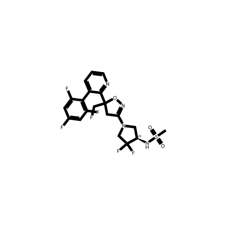 CS(=O)(=O)N[C@@H]1CN(C2=NOC(CF)(c3ncccc3-c3c(F)cc(F)cc3F)C2)CC1(F)F